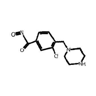 O=NC(=O)c1ccc(CN2CCNCC2)c(Cl)c1